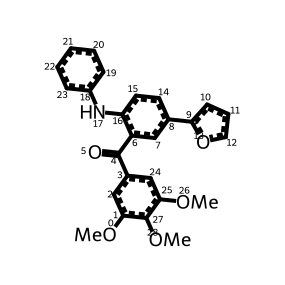 COc1cc(C(=O)c2cc(-c3ccco3)ccc2Nc2ccccc2)cc(OC)c1OC